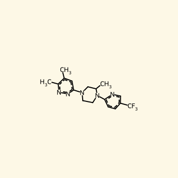 Cc1cc(N2CCN(c3ccc(C(F)(F)F)cn3)C(C)C2)nnc1C